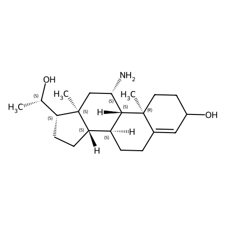 C[C@H](O)[C@H]1CC[C@H]2[C@@H]3CCC4=CC(O)CC[C@]4(C)[C@H]3[C@@H](N)C[C@]12C